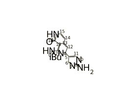 CC[C@H](C)Nc1nc(-c2cnc(N)nc2)cc2cc[nH]c(=O)c12